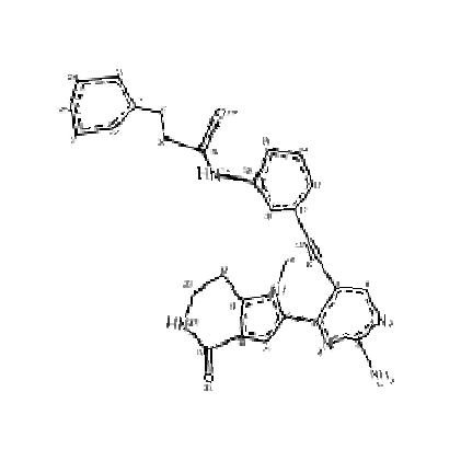 Cn1c(-c2nc(N)ncc2C#Cc2cccc(NC(=O)CCc3ccccc3)c2)cc2c1CCNC2=O